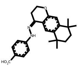 CC1(C)CCC(C)(C)c2cc3c(cc21)OCC/C3=N/Nc1ccc(C(=O)O)cc1